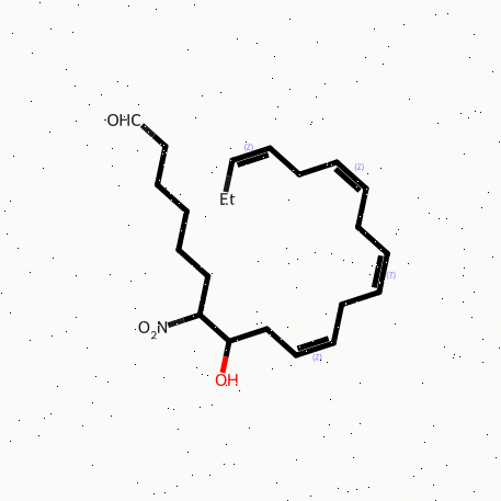 CC/C=C\C/C=C\C/C=C\C/C=C\CC(O)C(CCCCC[C]=O)[N+](=O)[O-]